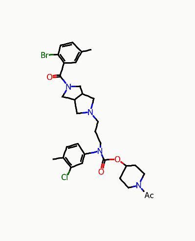 CC(=O)N1CCC(OC(=O)N(CCCN2CC3CN(C(=O)c4cc(C)ccc4Br)CC3C2)c2ccc(C)c(Cl)c2)CC1